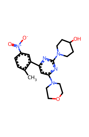 Cc1ccc([N+](=O)[O-])cc1-c1cc(N2CCOCC2)nc(N2CCC(O)CC2)n1